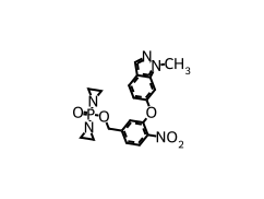 Cn1ncc2ccc(Oc3cc(COP(=O)(N4CC4)N4CC4)ccc3[N+](=O)[O-])cc21